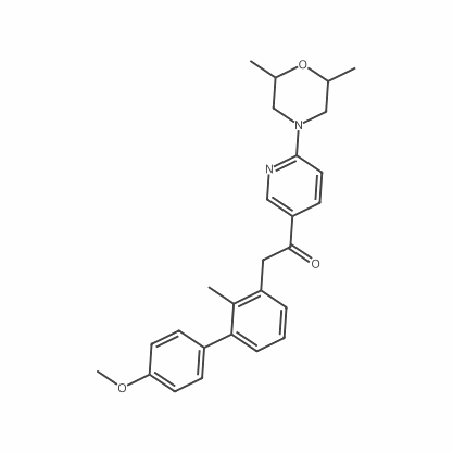 COc1ccc(-c2cccc(CC(=O)c3ccc(N4CC(C)OC(C)C4)nc3)c2C)cc1